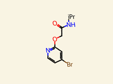 CC(C)NC(=O)COc1cc(Br)ccn1